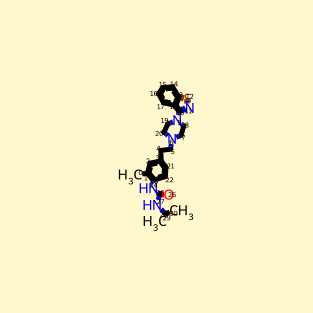 Cc1cc(CCN2CCN(c3nsc4ccccc34)CC2)ccc1NC(=O)NC(C)C